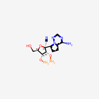 N#C[C@@]1(c2ccc3c(N)ncnn23)O[C@H](CO)[C@@H](OP)[C@H]1OP